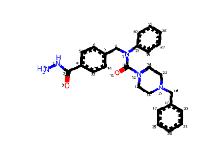 NNC(=O)c1ccc(CN(C(=O)N2CCN(Cc3ccccc3)CC2)c2ccccc2)cc1